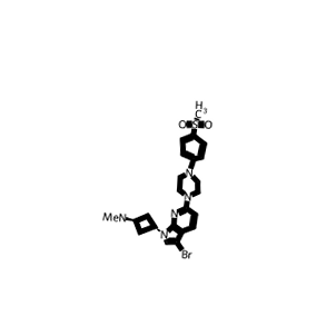 CN[C@H]1C[C@H](n2cc(Br)c3ccc(N4CCN(c5ccc(S(C)(=O)=O)cc5)CC4)nc32)C1